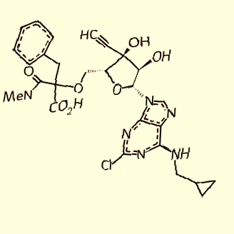 C#C[C@@]1(O)[C@@H](COC(Cc2ccccc2)(C(=O)O)C(=O)NC)O[C@@H](n2cnc3c(NCC4CC4)nc(Cl)nc32)[C@@H]1O